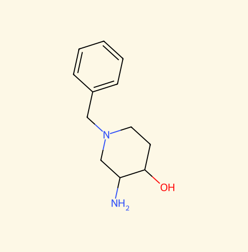 NC1CN(Cc2ccccc2)CCC1O